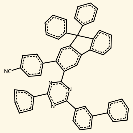 N#Cc1ccc(-c2cc3c(cc2-c2nc(-c4ccccc4)nc(-c4cccc(-c5ccccc5)c4)n2)-c2ccccc2C3(c2ccccc2)c2ccccc2)cc1